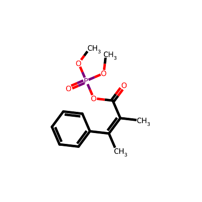 COP(=O)(OC)OC(=O)C(C)=C(C)c1ccccc1